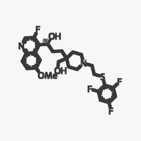 COc1ccc2ncc(F)c([C@@H](O)CCC3(CO)CCN(CCSc4c(F)cc(F)cc4F)CC3)c2c1